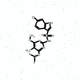 COc1nc(NS(=O)(=O)c2c[nH]c3cc(Cl)ccc23)nc(OC(F)F)c1C